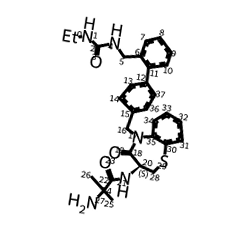 CCNC(=O)NCc1ccccc1-c1ccc(CN2C(=O)[C@H](NC(=O)C(C)(C)N)CSc3ccccc32)cc1